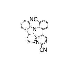 N#Cc1ccc(-c2cccc(C#N)c2N2c3ccccc3C3C=CC=CC32)cn1